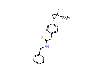 CCCCC1(C(=O)O)C[C@H]1c1ccc(CC(=O)NCc2ccccc2)cc1